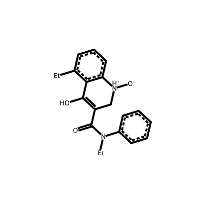 CCc1cccc2c1C(O)=C(C(=O)N(CC)c1ccccc1)C[NH+]2[O-]